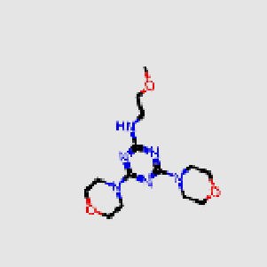 COCCNc1nc(N2CCOCC2)nc(N2CCOCC2)n1